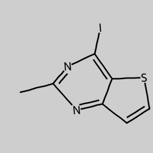 Cc1nc(I)c2sccc2n1